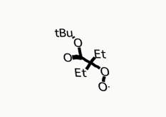 CCC(CC)(O[O])C(=O)OC(C)(C)C